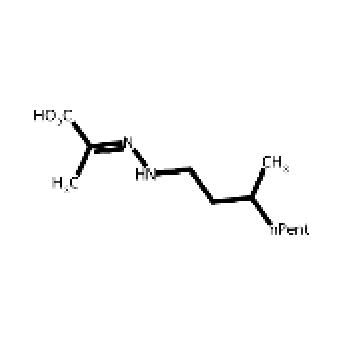 CCCCCC(C)CCNN=C(C)C(=O)O